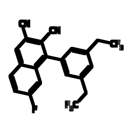 N#Cc1cc2ccc(F)cc2c(-c2cc(CC(F)(F)F)cc(CC(F)(F)F)c2)c1C#N